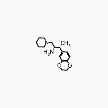 C[C@H](c1ccc2c(c1)OCCO2)[C@H](N)CN1CCCCC1